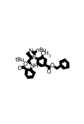 CCCCc1ncc(CNc2ccccc2C(=O)OC(C)(C)C)n1-c1ccc(C(=O)OCc2ccccc2)cc1C